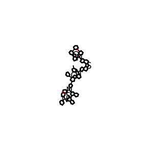 Cc1cccc(N(c2ccc3c(ccc4sc5ccc6cc(N(c7cccc(C)c7)c7cccc8c7oc7c(-c9ccccc9)cc(-c9ccc(N(c%10ccccc%10)c%10cc%11ccccc%11c%11c%10sc%10c(N(c%12ccccc%12)c%12ccccc%12)cc%12ccccc%12c%10%11)cc9)cc78)ccc6c5c43)c2)c2cccc3c2oc2c(-c4ccccc4)cccc23)c1